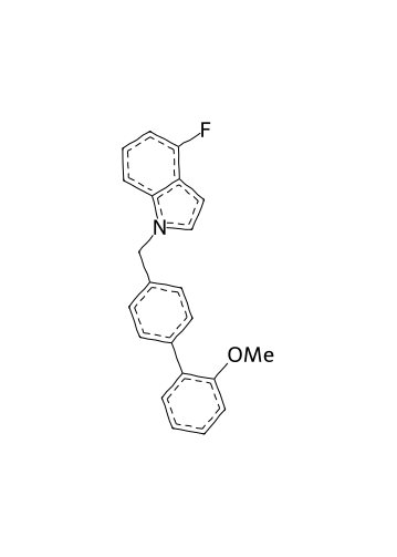 COc1ccccc1-c1ccc(Cn2ccc3c(F)cccc32)cc1